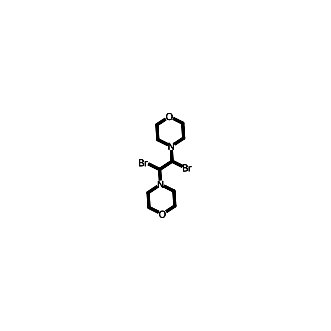 BrC(C(Br)N1CCOCC1)N1CCOCC1